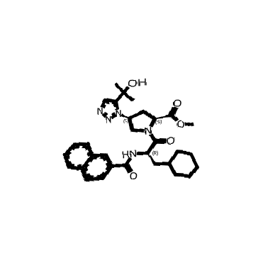 COC(=O)[C@@H]1C[C@H](n2nncc2C(C)(C)O)CN1C(=O)[C@@H](CC1CCCCC1)NC(=O)c1ccc2ccccc2c1